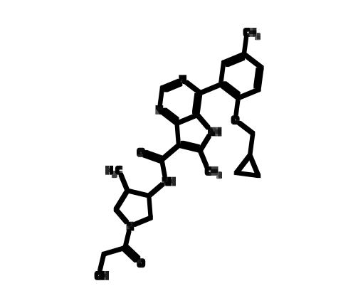 Cc1ccc(OCC2CC2)c(-c2ncnc3c(C(=O)NC4CN(C(=O)CO)CC4C)c(C)[nH]c23)c1